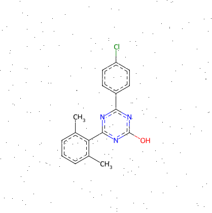 Cc1cccc(C)c1-c1nc(O)nc(-c2ccc(Cl)cc2)n1